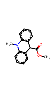 COC(=O)C1c2ccccc2N(C)c2ccccc21